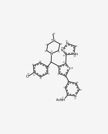 CC(=O)Nc1cc(-c2cc(C(c3ccc(Cl)cc3)N3CCN(C)CC3)c(-c3nnc[nH]3)s2)ccn1